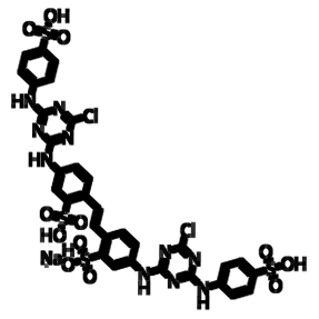 O=S(=O)(O)c1ccc(Nc2nc(Cl)nc(Nc3ccc(C=Cc4ccc(Nc5nc(Cl)nc(Nc6ccc(S(=O)(=O)O)cc6)n5)cc4S(=O)(=O)O)c(S(=O)(=O)O)c3)n2)cc1.[Na]